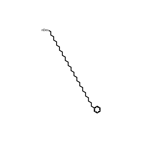 CCCCCCCCCCCCCCCCCCCCCCCCCCCCCCCCCCCCCCCCc1ccccc1